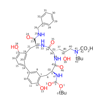 CC(C)(C)OC(=O)N[C@H]1Cc2cc(ccc2O)-c2ccc(O)c(c2)C[C@@H](C(=O)NCc2ccccc2)NC(=O)[C@H](C[C@@H](O)CN(C(=O)O)C(C)(C)C)NC1=O